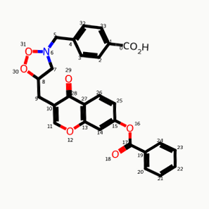 O=C(O)c1ccc(CN2CC(Cc3coc4cc(OC(=O)c5ccccc5)ccc4c3=O)OO2)cc1